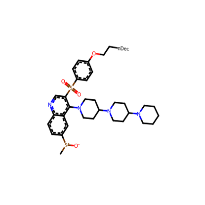 CCCCCCCCCCCCOc1ccc(S(=O)(=O)c2cnc3ccc([S+](C)[O-])cc3c2N2CCC(N3CCC(N4CCCCC4)CC3)CC2)cc1